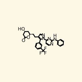 O=C1C[C@H](O)C[C@@H](CCc2cnn(-c3ccnc(Nc4ccccc4)n3)c2-c2cccc(C(F)(F)F)c2)O1